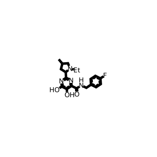 CCN1CC(C)CC1c1nc(O)c(O)c(C(=O)NCc2ccc(F)cc2)n1